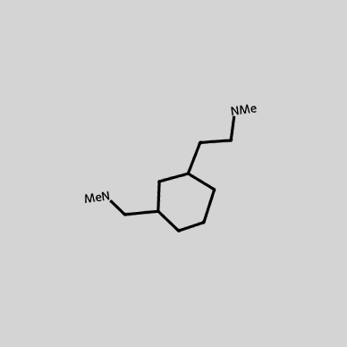 CNCCC1CCCC(CNC)C1